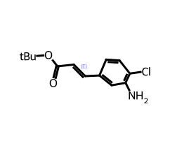 CC(C)(C)OC(=O)/C=C/c1ccc(Cl)c(N)c1